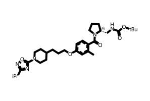 Cc1cc(OCCCC2CCN(c3nc(C(C)C)no3)CC2)ccc1C(=O)N1CCC[C@@H]1CNC(=O)OC(C)(C)C